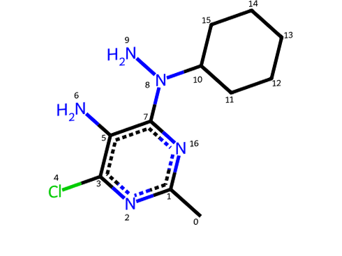 Cc1nc(Cl)c(N)c(N(N)C2CCCCC2)n1